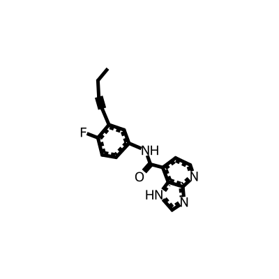 CCC#Cc1cc(NC(=O)c2ccnc3nc[nH]c23)ccc1F